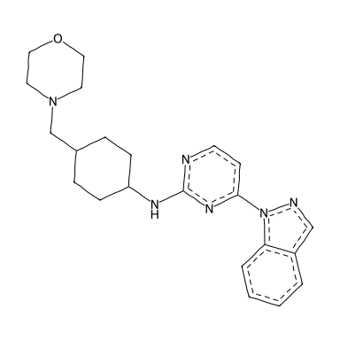 c1ccc2c(c1)cnn2-c1ccnc(NC2CCC(CN3CCOCC3)CC2)n1